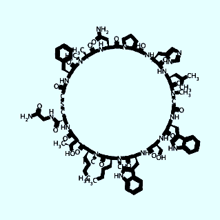 CCCC[C@H]1C(=O)N(C)[C@@H](CCCC)C(=O)[C@@H]([C@@H](C)O)C(=O)N[C@H](C(=O)NCC(N)=O)CSCC(=O)N[C@@H](Cc2ccccc2)C(=O)N(C)[C@@H](C)C(=O)N[C@@H](CC(N)=O)C(=O)N2CCC[C@H]2C(=O)N[C@@H](Cc2cnc[nH]2)C(=O)N[C@@H](CC(C)C)C(=O)N(C)CC(=O)N[C@@H](Cc2c[nH]c3ccccc23)C(=O)N[C@@H](CO)C(=O)N[C@@H](Cc2c[nH]c3ccccc23)C(=O)N1C